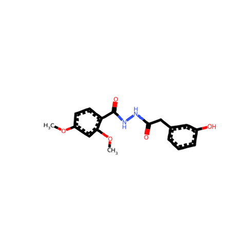 COc1ccc(C(=O)NNC(=O)Cc2cccc(O)c2)c(OC)c1